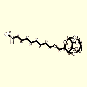 OC1C2OCCCOC(C(CSCCCCCCCCNCl)O2)C1O